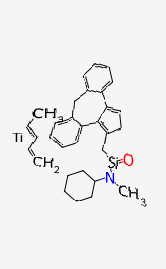 C=CC=CC.CN(C1CCCCC1)[Si](=O)CC1=C2C(=CC1)c1ccccc1Cc1ccccc12.[Ti]